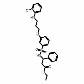 CCOC(=O)CC(NS(=O)(=O)c1cccc(OCCCNc2cccc[n+]2[O-])c1)c1ccccc1